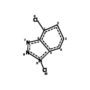 Clc1cccc2c1nnn2Cl